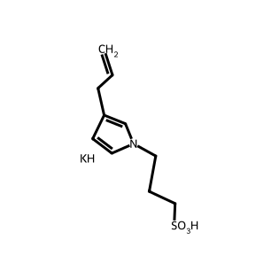 C=CCc1ccn(CCCS(=O)(=O)O)c1.[KH]